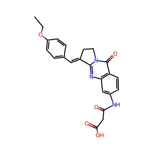 CCOc1ccc(C=C2CCn3c2nc2cc(NC(=O)CC(=O)O)ccc2c3=O)cc1